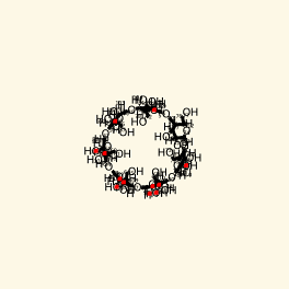 Cl.OC[C@H]1O[C@@H]2O[C@H]3[C@H](O)[C@@H](O)[C@@H](O[C@H]4[C@H](O)[C@@H](O)[C@@H](O[C@H]5[C@H](O)[C@@H](O)[C@@H](O[C@H]6[C@H](O)[C@@H](O)[C@@H](O[C@H]7[C@H](O)[C@@H](O)[C@@H](O[C@H]8[C@H](O)[C@@H](O)[C@@H](O[C@H]1[C@H](O)[C@H]2O)O[C@@H]8CO)O[C@@H]7CO)O[C@@H]6CO)O[C@@H]5CO)O[C@@H]4CO)O[C@@H]3CO